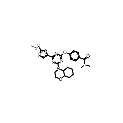 CN(C)C(=O)c1ccc(Oc2nc(-c3cnc(N)s3)nc(N3CCOC4CCCCC43)n2)cc1